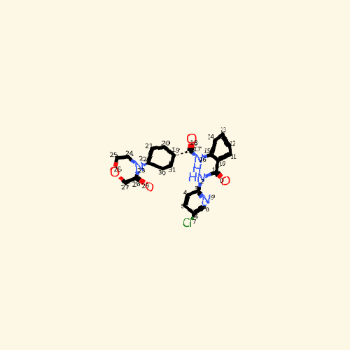 O=C(Nc1ccc(Cl)cn1)c1ccccc1NC(=O)[C@H]1CC[C@H](N2CCOCC2=O)CC1